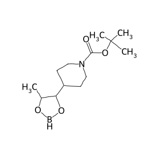 CC1OBOC1C1CCN(C(=O)OC(C)(C)C)CC1